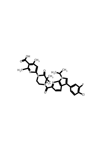 Cc1cc(N2CCN(C(=O)c3ccc4c(-c5ccc(Cl)c(F)c5)cn(C(C)C)c4n3)C(C)(C)C2=O)nc(C)c1C(=O)O